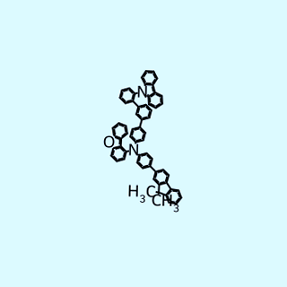 CC1(C)c2ccccc2-c2ccc(-c3ccc(N(c4ccc(-c5cccc(-c6ccccc6-n6c7ccccc7c7ccccc76)c5)cc4)c4cccc5oc6ccccc6c45)cc3)cc21